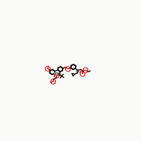 CCOC(=O)C[C@@H](CC1CC1)c1cccc(OCc2ccc(-c3cc(OC)ccc3F)c([C@H](OCCOC)C(C)(C)C)c2)c1